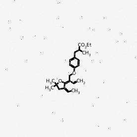 C=C/C(COc1ccc(CC(C)C(=O)OCC)cc1)=C1/OC(C)(C)C/C1=C/C